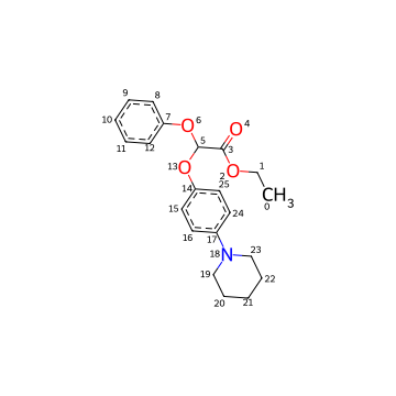 CCOC(=O)C(Oc1ccccc1)Oc1ccc(N2CCCCC2)cc1